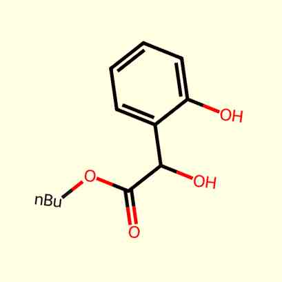 CCCCOC(=O)C(O)c1ccccc1O